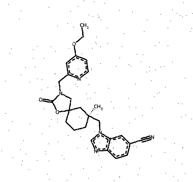 CCOc1ccnc(CN2CC3(CCC[C@](C)(Cn4cnc5ccc(C#N)cc54)C3)OC2=O)c1